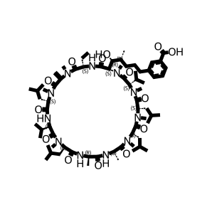 C=C1C(=O)N(C)[C@@H](CC(C)C)C(=O)N[C@H](C(C)C)C(=O)N(C)[C@H](CC(C)C)C(=O)N[C@H](C)C(=O)N[C@@H](C)C(=O)N(C)[C@@H](CC(C)C)C(=O)N(C)[C@@H](CC(C)C)C(=O)N(C)[C@@H](C(C)C)C(=O)N(C)[C@@H]([C@H](O)[C@H](C)CCCc2cccc(C(=O)O)c2)C(=O)N[C@@H](CC)C(=O)N1C